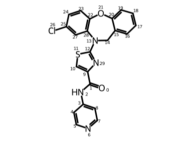 O=C(Nc1ccncc1)c1csc(N2Cc3ccccc3Oc3ccc(Cl)cc32)n1